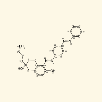 C=CCOC1(O)C=Cc2c(ccc(O)c2N=Nc2ccc(N=Nc3ccccc3)cc2)C1